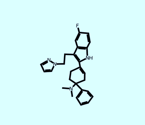 CN(C)C1(c2ccccc2)CC=C(c2[nH]c3ccc(F)cc3c2CCn2cccn2)CC1